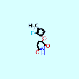 Cc1ccc(OC2CCC(=O)NC2=O)cc1F